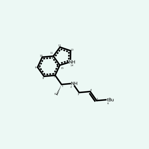 C[C@@H](NC/C=C/C(C)(C)C)c1cccc2cc[nH]c12